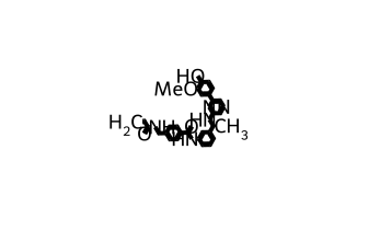 C=CC(=O)NCc1ccc(C(=O)Nc2cccc([C@H](C)Nc3cncc(-c4ccc(O)c(OC)c4)n3)c2)cc1